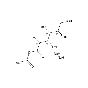 CC(=O)C(=O)OC(=O)[C@H](O)[C@@H](O)[C@H](O)[C@H](O)CO.[NaH].[NaH]